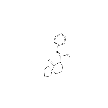 O=C1C(C(=Nc2ccccc2)C(F)(F)F)CCCC12CCCC2